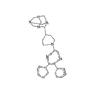 c1ccc(-c2ncc(N3CCC(C4N5CN6CN(C5)CN4C6)CC3)nc2-c2ccccc2)cc1